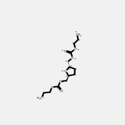 CCCOC(=O)OC[C@@H]1CC[C@@H](COC(=O)OCCC)O1